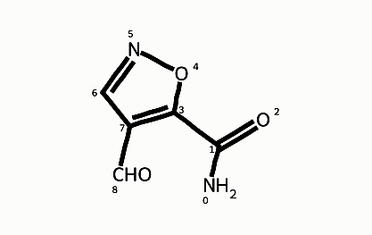 NC(=O)c1oncc1C=O